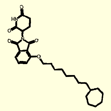 O=C1CCC(N2C(=O)c3cccc(OCCCCCCCCC4CCCCCC4)c3C2=O)C(=O)N1